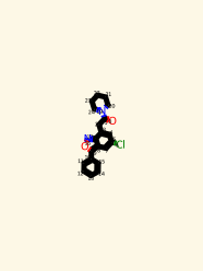 O=C(Cc1cc(Cl)cc2c(-c3ccccc3)onc12)N1CCCCC1